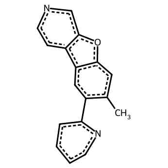 Cc1cc2oc3cnccc3c2cc1-c1ccccn1